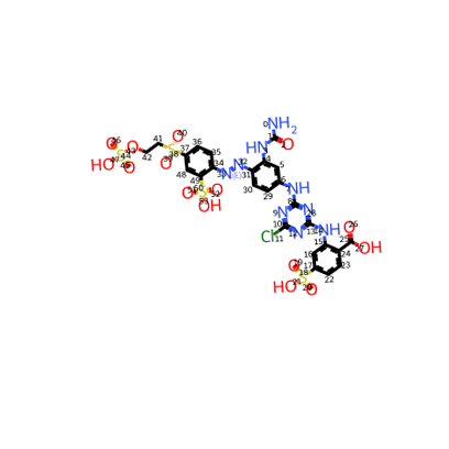 NC(=O)Nc1cc(Nc2nc(Cl)nc(Nc3cc(S(=O)(=O)O)ccc3C(=O)O)n2)ccc1/N=N/c1ccc(S(=O)(=O)CCOS(=O)(=O)O)cc1S(=O)(=O)O